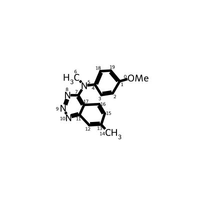 COc1ccc(N(C)c2nnnc3cc(C)ccc23)cc1